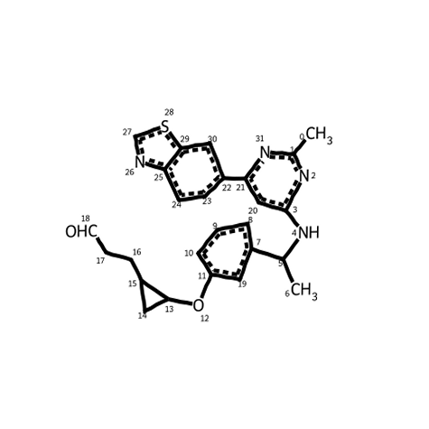 Cc1nc(NC(C)c2cccc(OC3CC3CCC=O)c2)cc(-c2ccc3ncsc3c2)n1